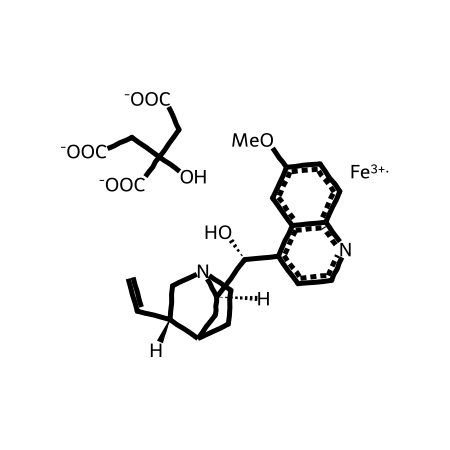 C=C[C@@H]1CN2CCC1C[C@@H]2[C@H](O)c1ccnc2ccc(OC)cc12.O=C([O-])CC(O)(CC(=O)[O-])C(=O)[O-].[Fe+3]